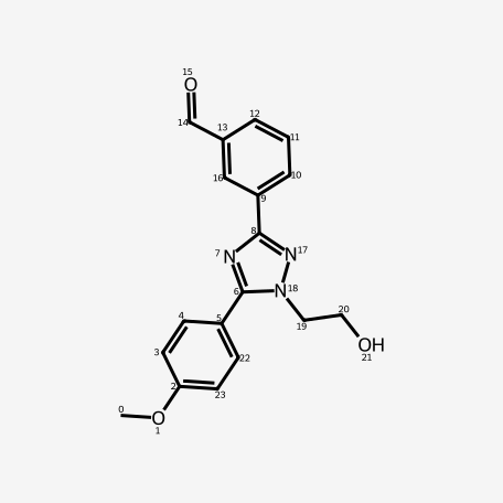 COc1ccc(-c2nc(-c3cccc(C=O)c3)nn2CCO)cc1